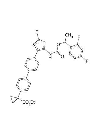 CCOC(=O)C1(c2ccc(-c3ccc(-c4sc(F)cc4NC(=O)OC(C)c4ccc(F)cc4F)cc3)cc2)CC1